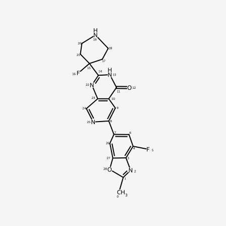 Cc1nc2c(F)cc(-c3cc4c(=O)[nH]c(C5(F)CCNCC5)nc4cn3)cc2o1